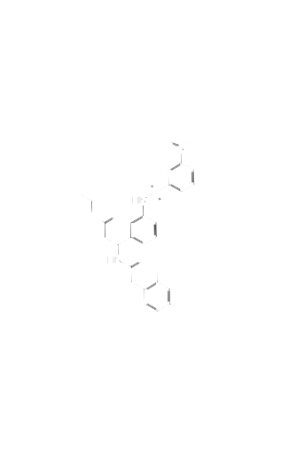 CCOC(=O)CC(NC(=O)Cc1ccc(Cl)cc1Cl)c1cccc(NS(=O)(=O)c2cccc([N+](=O)[O-])c2)c1